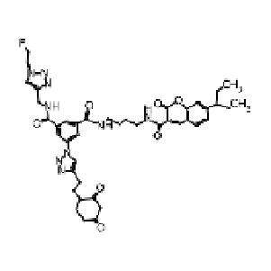 CCC(CC)c1ccc2cc(C(=O)NCCCCNC(=O)c3cc(C(=O)NCc4cn(CCF)nn4)cc(-n4cc(CCC5CCC(=O)CC5=O)nn4)c3)c(=O)oc2c1